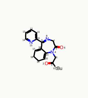 CC(C)(C)C(=O)CN1C(=O)CN=C(c2ccccn2)C2=CCCC=C21